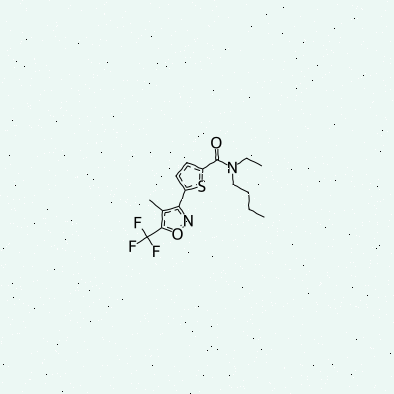 CCCCN(CC)C(=O)c1ccc(-c2noc(C(F)(F)F)c2C)s1